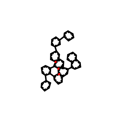 c1ccc(-c2cccc(-c3ccc(N(c4cccc(-c5cccc6ccccc56)c4)c4cccc(-c5ccccc5)c4-c4ccccc4-c4ccccc4)cc3)c2)cc1